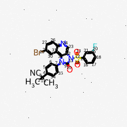 CC(C)(C#N)c1ccc(-n2c(=O)n(S(=O)(=O)c3cccc(F)c3)c3cnc4ccc(Br)cc4c32)cc1